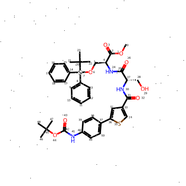 COC(=O)[C@H](CO[Si](c1ccccc1)(c1ccccc1)C(C)(C)C)NC(=O)[C@H](CO)NC(=O)c1csc(-c2ccc(NC(=O)OC(C)(C)C)cc2)c1